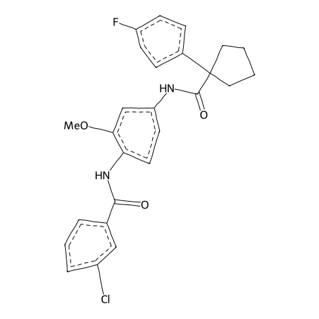 COc1cc(NC(=O)C2(c3ccc(F)cc3)CCCC2)ccc1NC(=O)c1cccc(Cl)c1